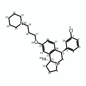 Clc1cccc([C@H]2CN3CCC[C@H]3c3cc(OCCCN4CCCCC4)ccc32)c1